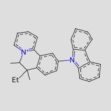 CCC1(C)c2ccc(-n3c4ccccc4c4ccccc43)cc2-c2cccc[n+]2C1C